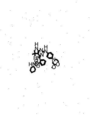 COC1CN(c2ccc(Nc3nc4c(c(Nc5ccccc5S(=O)(=O)NC5CCCCC5)n3)C(C)(C)CN4)cc2)CCO1